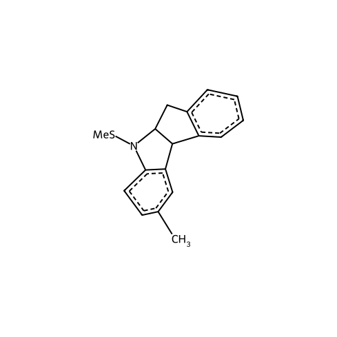 CSN1c2ccc(C)cc2C2c3ccccc3CC21